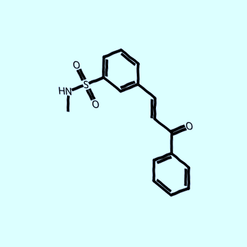 CNS(=O)(=O)c1cccc(/C=C/C(=O)c2ccccc2)c1